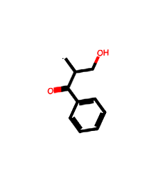 [CH2]C(CO)C(=O)c1ccccc1